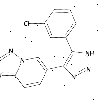 Clc1cccc(-c2[nH]nnc2-c2ccc3ncnn3c2)c1